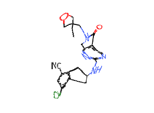 CC1(CN2Cc3nc(NC4Cc5cc(Cl)cc(C#N)c5C4)ncc3C2=O)COC1